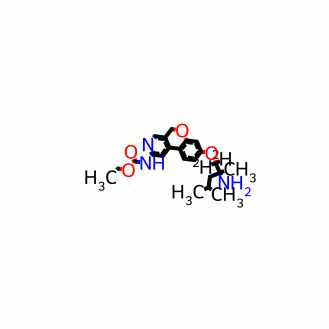 [2H]C([2H])(Oc1ccc2c(c1)OCc1cnc(NC(=O)OCC)cc1-2)C(C)(N)CC(C)C